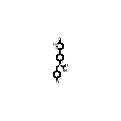 O=C(S)N(Cc1ccc(Cl)cc1)c1ccc(-c2ccc(=O)[nH]n2)cc1